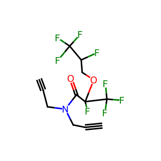 C#CCN(CC#C)C(=O)C(F)(OCC(F)C(F)(F)F)C(F)(F)F